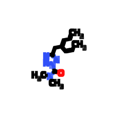 C=C/C=C(\C=C/C)Cc1nnn(C(=O)N(C)C)n1